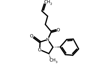 C=CCCC(=O)N1C(=O)O[C@@H](C)[C@H]1c1ccccc1